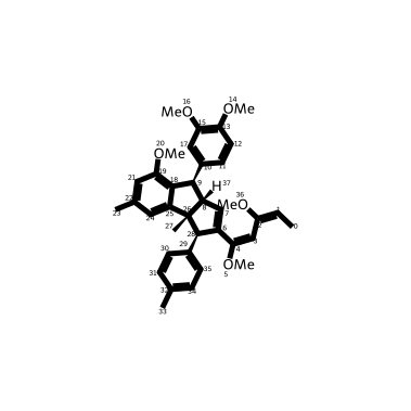 C/C=C(\C=C(\OC)C1=C[C@H]2[C@H](c3ccc(OC)c(OC)c3)c3c(OC)cc(C)cc3[C@@]2(C)[C@@H]1c1ccc(C)cc1)OC